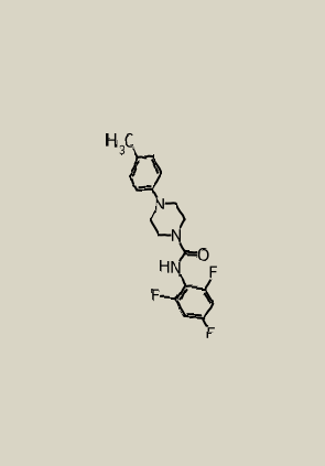 Cc1ccc(N2CCN(C(=O)Nc3c(F)cc(F)cc3F)CC2)cc1